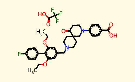 CCOc1cc(CN2CCC3(CC2)CN(c2ccc(C(=O)O)cc2)CCC3=O)cc(OCC)c1-c1ccc(F)cc1.O=C(O)C(F)(F)F